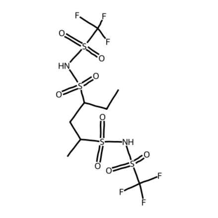 CCC(CC(C)S(=O)(=O)NS(=O)(=O)C(F)(F)F)S(=O)(=O)NS(=O)(=O)C(F)(F)F